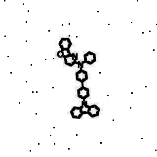 c1ccc(N(c2ccc(-c3ccc(-n4c5ccccc5c5ccccc54)cc3)cc2)c2ccc3oc4ccccc4c3n2)cc1